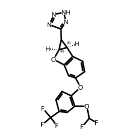 FC(F)Oc1cc(C(F)(F)F)ccc1Oc1ccc2c(c1)O[C@H]1C(c3nn[nH]n3)[C@@H]21